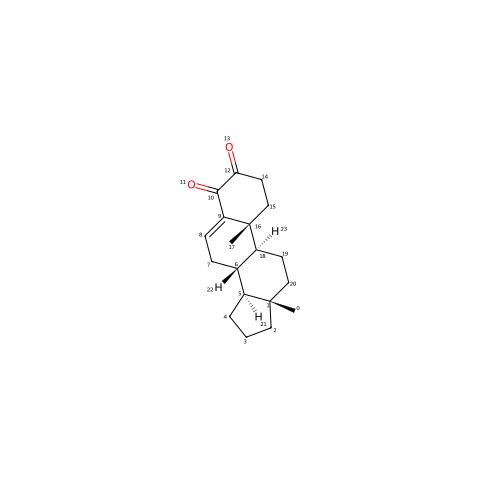 C[C@@]12CCC[C@H]1[C@@H]1CC=C3C(=O)C(=O)CC[C@]3(C)[C@H]1CC2